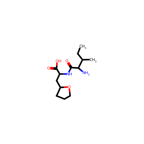 CCC(C)C(N)C(=O)NC(CC1CCCO1)C(=O)O